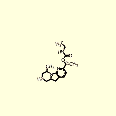 CCNC(=O)O[C@@H](C)c1ccc2c(n1)N1C(C)CNCC1C2